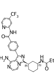 CCC(=O)N[C@H]1CCC[C@@H](c2nc(-c3ccc(C(=O)Nc4cc(C(F)(F)F)ccn4)cc3)c3c(N)nccn23)C1